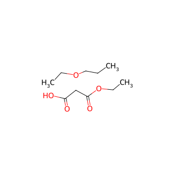 CCCOCC.CCOC(=O)CC(=O)O